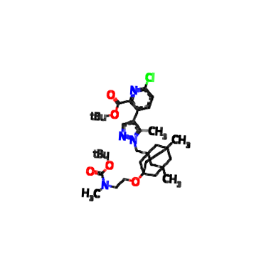 Cc1c(-c2ccc(Cl)nc2C(=O)OC(C)(C)C)cnn1CC12CC3(C)CC(C)(C1)CC(OCCN(C)C(=O)OC(C)(C)C)(C3)C2